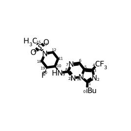 CCC(C)c1nc(C(F)(F)F)c2cnc(N[C@@H]3CCN(S(C)(=O)=O)C[C@H]3F)nn12